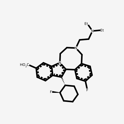 CCN(CC)CCN1CCn2c(c([C@@H]3CCCC[C@H]3F)c3ccc(C(=O)O)cc32)-c2cc(F)ccc2C1